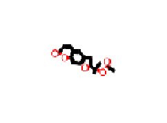 CC(=O)OC(C)(C)C1Cc2cc3ccc(=O)oc3cc2O1